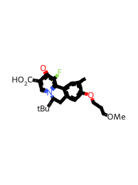 COCCCOc1cc2c(cc1C)-c1c(F)c(=O)c(C(=O)O)cn1C(C(C)(C)C)C2